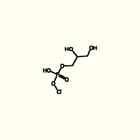 O=P(O)(OCl)OCC(O)CO